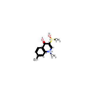 CCc1ccc2c(=O)c([S+](C)[O-])cn(C)c2c1